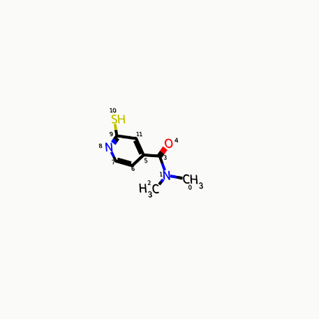 CN(C)C(=O)c1ccnc(S)c1